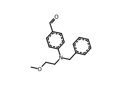 COCCN(Cc1ccccc1)c1ccc(C=O)cc1